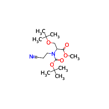 COC(=O)C(COC(C)(C)C)N(CCC#N)C(=O)OC(C)(C)C